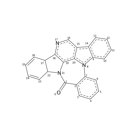 O=C1c2ccccc2-n2c3ccccc3c3cnc4c(c32)N1C1C=CC=CC41